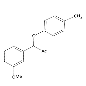 COc1cccc(C(Oc2ccc(C)cc2)C(C)=O)c1